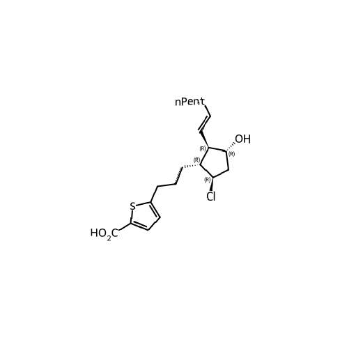 CCCCCC=C[C@@H]1[C@@H](CCCc2ccc(C(=O)O)s2)[C@H](Cl)C[C@H]1O